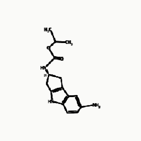 CC(C)OC(=O)N[C@@H]1Cc2[nH]c3ccc(N)cc3c2C1